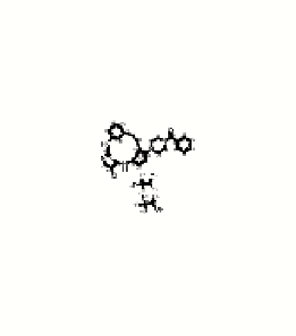 O=C(O)C(F)(F)F.O=C(O)C(F)(F)F.O=C(c1ccccc1)N1CCN(c2ccc3cc2CCc2cccc(c2)Nc2ncc(Cl)c(n2)N3)CC1